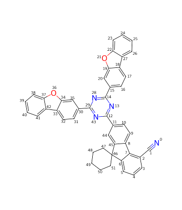 N#Cc1cccc2c1-c1ccc(-c3nc(-c4ccc5c(c4)oc4ccccc45)nc(-c4ccc5c(c4)oc4ccccc45)n3)cc1C21CCCCC1